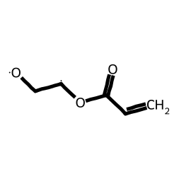 C=CC(=O)O[CH]C[O]